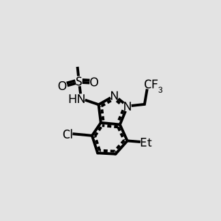 CCc1ccc(Cl)c2c(NS(C)(=O)=O)nn(CC(F)(F)F)c12